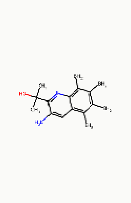 Bc1c(B)c(B)c2nc(C(C)(C)O)c(N)cc2c1B